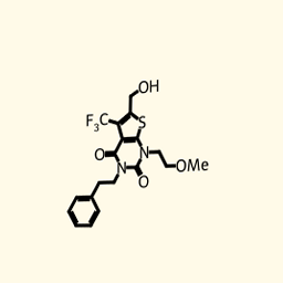 COCCn1c(=O)n(CCc2ccccc2)c(=O)c2c(C(F)(F)F)c(CO)sc21